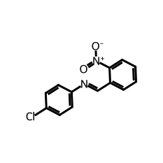 O=[N+]([O-])c1ccccc1C=Nc1ccc(Cl)cc1